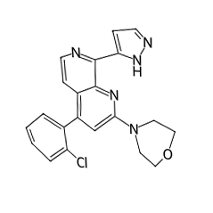 Clc1ccccc1-c1cc(N2CCOCC2)nc2c(-c3ccn[nH]3)nccc12